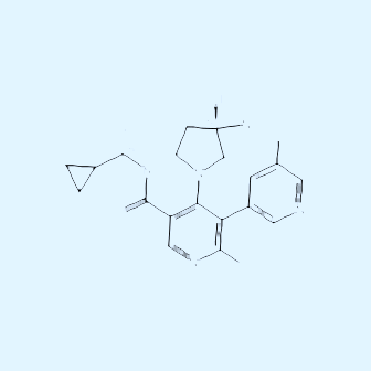 Cc1ncc(C(=O)N[C@@H](C)C2CC2)c(N2CC[C@](C)(N)C2)c1-c1cncc(Cl)c1